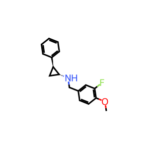 COc1ccc(CN[C@@H]2C[C@H]2c2ccccc2)cc1F